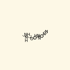 CCC(N)NCCCOc1ccc(-c2nc3ccc(N4CCN(C)CC4)cc3[nH]2)cc1